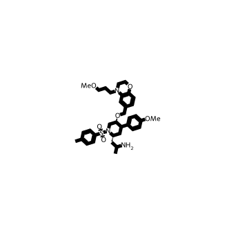 COCCCN1CCOc2ccc(CO[C@H]3CN(S(=O)(=O)c4ccc(C)cc4)[C@@H](CC(C)N)CC3c3ccc(OC)cc3)cc21